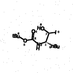 CCCC[C@H](NC(=O)OC(C)(C)C)C(O)I